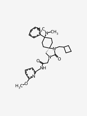 COc1cccc(NC(=O)CN2C[C@]3(CC[C@](c4ccccc4)(N(C)C)CC3)N(CC3CCC3)C2=O)n1